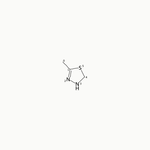 CC1=NNCS1